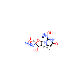 C[C@@H]1[C@H](O)[C@](CO)(N=[N+]=[N-])O[C@@]1(C#N)n1ccc(=O)[nH]/c1=N\O